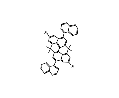 CC1(C)c2cc(-c3cccc4ccccc34)c3cc(Br)cc4c3c2-c2c(cc(-c3cccc5ccccc35)c3cc(Br)cc1c23)C4(C)C